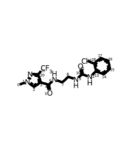 Cn1cc(C(=O)NCCNC(=O)Nc2ccccc2Cl)c(C(F)(F)F)n1